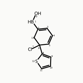 OBC1=CC=CC(Cl)(c2cccs2)C1